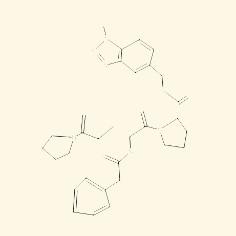 Cn1nnc2cc(CNC(=O)[C@@H]3CCCN3C(=O)[C@@H](CCC(=O)N3CCCC3)NC(=O)Cc3ccccc3)ccc21